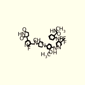 CNC(=O)c1ccccc1Nc1cc(Nc2ccc(N3CCC(N(C)Cc4cc(C5CCC(=O)NC5=O)cnc4F)CC3)cc2OC)ncc1C(F)(F)F